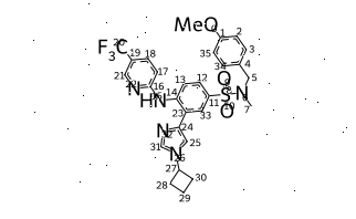 COc1ccc(CN(C)S(=O)(=O)c2ccc(Nc3ccc(C(F)(F)F)cn3)c(-c3cn(C4CCC4)cn3)c2)cc1